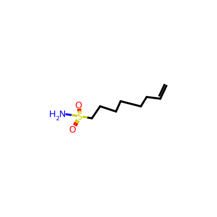 C=CCCCCCCS(N)(=O)=O